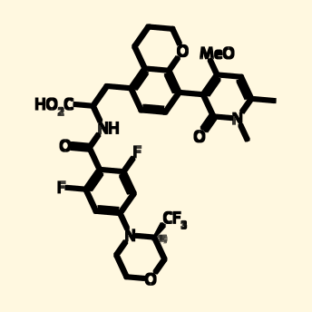 COc1cc(C)n(C)c(=O)c1-c1ccc(CC(NC(=O)c2c(F)cc(N3CCOC[C@@H]3C(F)(F)F)cc2F)C(=O)O)c2c1OCCC2